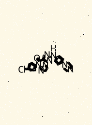 CN1CCN(c2ccc(Nc3ncc4c(n3)N3CCN=C3N(c3ccc(Cl)cc3)C4=O)cc2)CC1